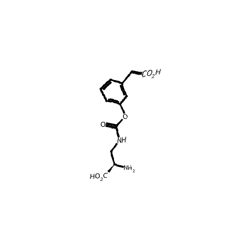 N[C@H](CNC(=O)Oc1cccc(CC(=O)O)c1)C(=O)O